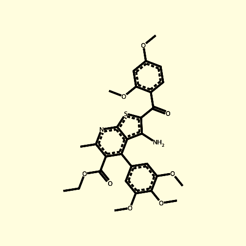 CCOC(=O)c1c(C)nc2sc(C(=O)c3ccc(OC)cc3OC)c(N)c2c1-c1cc(OC)c(OC)c(OC)c1